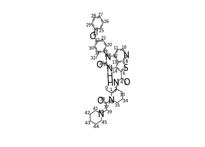 CC1=C(NC(=O)c2sc3nccc4c3c2NC(=O)N4c2ccc(Oc3ccccc3)cc2C)CCCN1C(=O)CN1CCCCC1